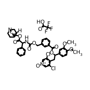 COc1ccc(C(Cc2c(Cl)c[n+]([O-])cc2Cl)OC(=O)c2cccc(COC(=O)NC(C(=O)O[C@H]3CN4CCC3CC4)c3ccccc3)c2)cc1OC.O=C(O)C(F)(F)F